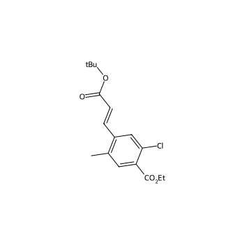 CCOC(=O)c1cc(C)c(/C=C/C(=O)OC(C)(C)C)cc1Cl